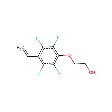 C=Cc1c(F)c(F)c(OCCO)c(F)c1F